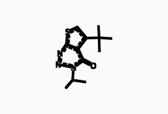 CC(C)n1nnc2scc(C(C)(C)C)c2c1=O